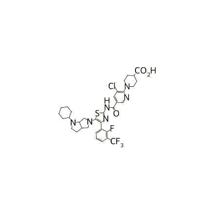 O=C(Nc1nc(-c2cccc(C(F)(F)F)c2F)c(N2CC3CCN(C4CCCCC4)C3C2)s1)c1cnc(N2CCC(C(=O)O)CC2)c(Cl)c1